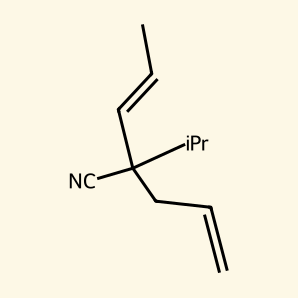 C=CCC(C#N)(C=CC)C(C)C